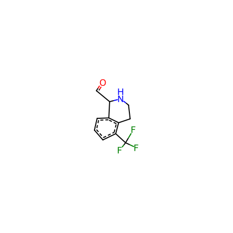 O=CC1NCCc2c1cccc2C(F)(F)F